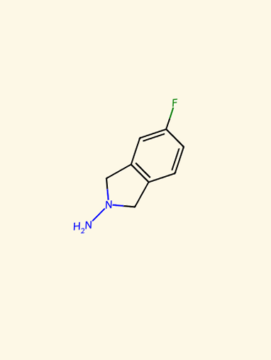 NN1Cc2ccc(F)cc2C1